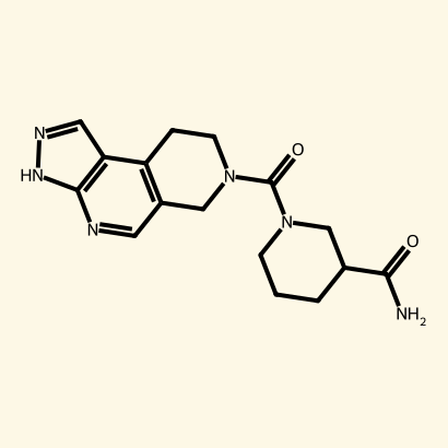 NC(=O)C1CCCN(C(=O)N2CCc3c(cnc4[nH]ncc34)C2)C1